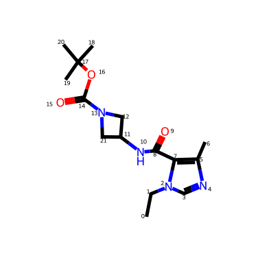 CCn1cnc(C)c1C(=O)NC1CN(C(=O)OC(C)(C)C)C1